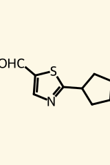 O=Cc1cnc(C2CCCC2)s1